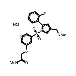 CNCc1cc(-c2ccccc2F)n(S(=O)(=O)c2cncc(SCC(=O)NC)c2)c1.Cl